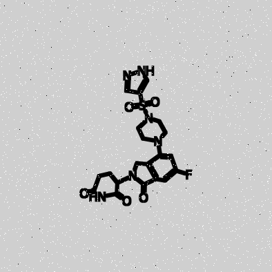 O=C1CCC(N2Cc3c(cc(F)cc3N3CCN(S(=O)(=O)c4cn[nH]c4)CC3)C2=O)C(=O)N1